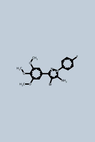 COc1cc(-c2nn(-c3ccc(F)cc3)c(N)c2Br)cc(OC)c1OC